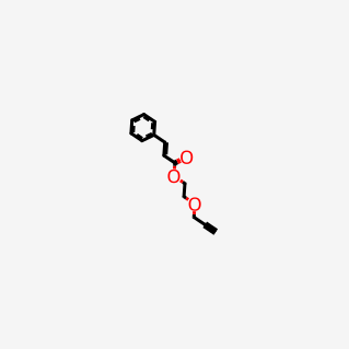 C#CCOCCOC(=O)C=Cc1ccccc1